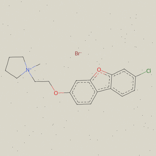 C[N+]1(CCOc2ccc3c(c2)oc2cc(Cl)ccc23)CCCC1.[Br-]